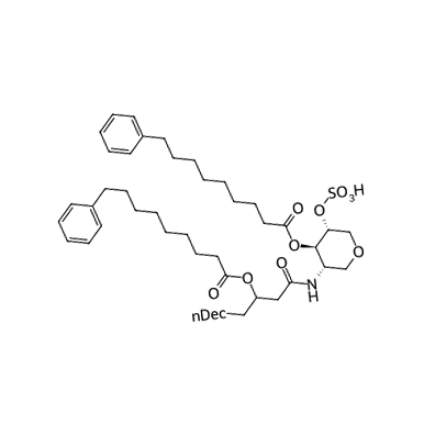 CCCCCCCCCCCC(CC(=O)N[C@H]1COC[C@@H](OS(=O)(=O)O)[C@@H]1OC(=O)CCCCCCCCc1ccccc1)OC(=O)CCCCCCCCc1ccccc1